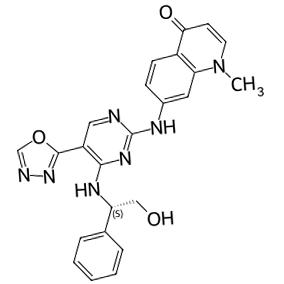 Cn1ccc(=O)c2ccc(Nc3ncc(-c4nnco4)c(N[C@H](CO)c4ccccc4)n3)cc21